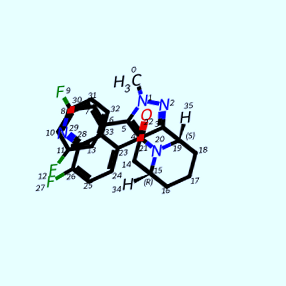 Cn1nc2c(c1-c1cc(F)cc(F)c1)C[C@H]1CCC[C@@H]2N1C(=O)c1ccc(F)c2ncccc12